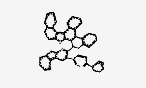 C=C(/C=C\C(=C/C)c1cc2c(nc1C1Cc3ccccc3-c3c1c1sc4ccc5ccccc5c4c1c1ccccc31)sc1ccccc12)c1ccccc1